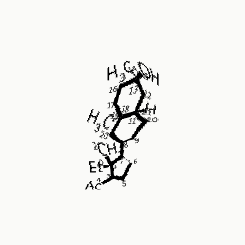 CC[C@]1(C)C(C(C)=O)CC[C@H]1[C@@H]1CC[C@H]2C[C@](C)(O)CC[C@]2(C)C1